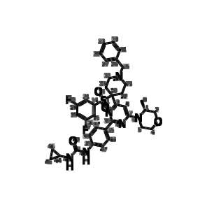 C[C@H]1COCCN1c1cc(C2(S(=O)(=O)c3cc(F)cc(F)c3)CCN(Cc3ccccc3)CC2)nc(-c2ccc(NC(=O)NC3CC3)cc2)n1